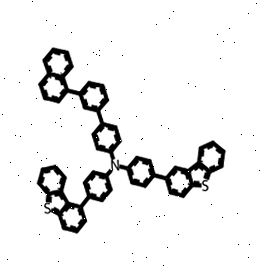 c1cc(-c2ccc(N(c3ccc(-c4ccc5sc6ccccc6c5c4)cc3)c3ccc(-c4cccc5sc6ccccc6c45)cc3)cc2)cc(-c2cccc3ccccc23)c1